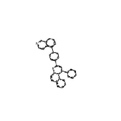 c1ccc(-c2cc(-c3ccc(-c4cccc5cnccc45)cc3)nc3ccc4ccccc4c23)cc1